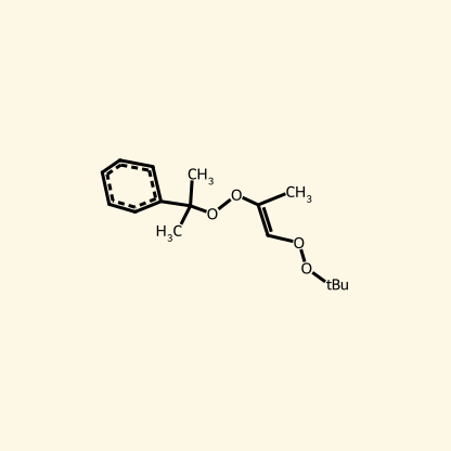 CC(=COOC(C)(C)C)OOC(C)(C)c1ccccc1